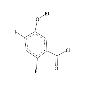 CCOc1cc(C(=O)Cl)c(F)cc1I